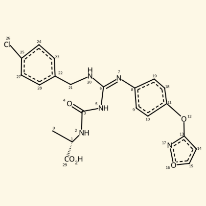 C[C@H](NC(=O)N/C(=N\c1ccc(Oc2ccon2)cc1)NCc1ccc(Cl)cc1)C(=O)O